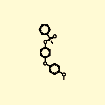 COc1ccc(Oc2ccc(OP(C)(=O)c3ccccc3)cc2)cc1